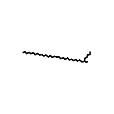 CCCCCCCCCCCCCCCCCCCCCCCCCCCCC[C](CC)CCCCC